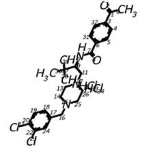 CC(=O)c1ccc(C(=O)NC(CN2CCN(Cc3ccc(Cl)c(Cl)c3)CC2)C(C)(C)C)cc1.Cl.Cl